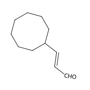 O=C/C=C/C1CCCCCCC1